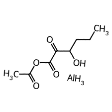 CCCC(O)C(=O)C(=O)OC(C)=O.[AlH3]